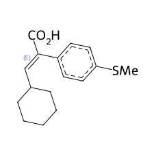 CSc1ccc(/C(=C\C2CCCCC2)C(=O)O)cc1